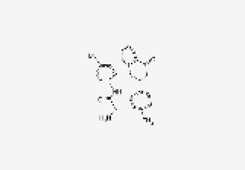 Cc1ccc(C2CC(=O)c3ccccc3N2)cc1.NNC(=O)Nc1ccc(Br)cc1